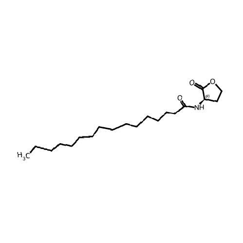 CCCCCCCCCCCCCCCC(=O)N[C@@H]1CCOC1=O